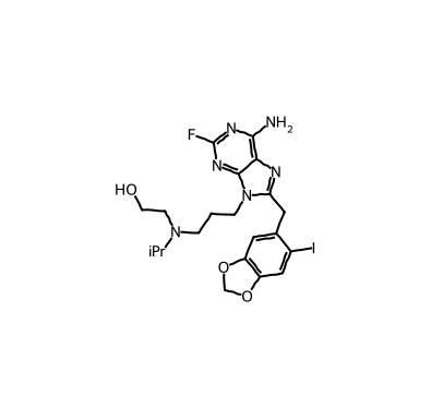 CC(C)N(CCO)CCCn1c(Cc2cc3c(cc2I)OCO3)nc2c(N)nc(F)nc21